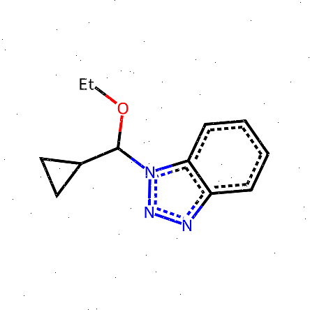 CCOC(C1CC1)n1nnc2ccccc21